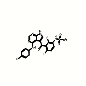 CCCS(=O)(=O)Nc1ccc(F)c(C(=O)c2c[nH]c3ncnc(NC4C=CC(Cl)=CC4)c23)c1F